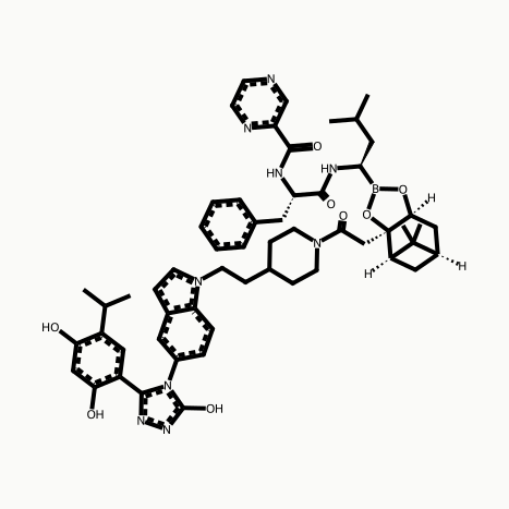 CC(C)C[C@H](NC(=O)[C@H](Cc1ccccc1)NC(=O)c1cnccn1)B1O[C@H]2C[C@H]3C[C@H](C3(C)C)[C@@]2(CC(=O)N2CCC(CCn3ccc4cc(-n5c(O)nnc5-c5cc(C(C)C)c(O)cc5O)ccc43)CC2)O1